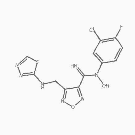 N=C(c1nonc1CNc1nncs1)N(O)c1ccc(F)c(Cl)c1